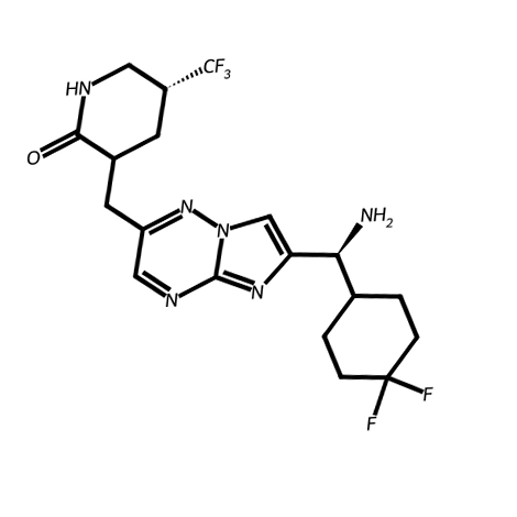 N[C@H](c1cn2nc(CC3C[C@@H](C(F)(F)F)CNC3=O)cnc2n1)C1CCC(F)(F)CC1